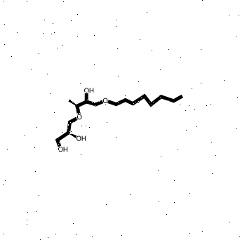 CCCCCCCCOCC(O)[C@H](C)OC[C@@H](O)CO